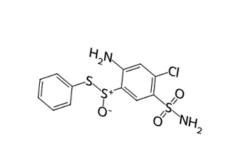 Nc1cc(Cl)c(S(N)(=O)=O)cc1[S+]([O-])Sc1ccccc1